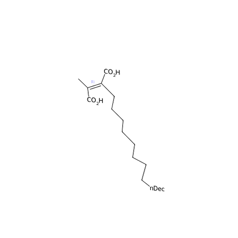 CCCCCCCCCCCCCCCCCC/C(C(=O)O)=C(/C)C(=O)O